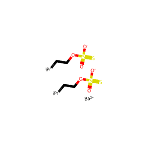 CC(C)CCOS(=O)([O-])=S.CC(C)CCOS(=O)([O-])=S.[Ba+2]